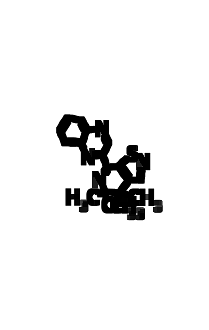 CC1(C)N=C(c2cnc3ccccc3n2)c2sncc2C1(C)C